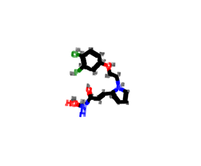 O=C(C=Cc1cccn1CCOc1ccc(Cl)c(F)c1)NO